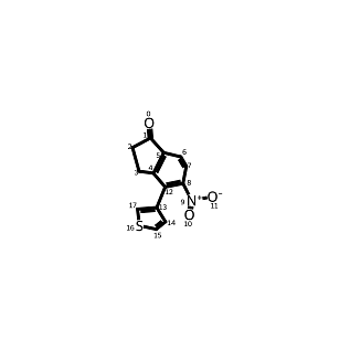 O=C1CCc2c1ccc([N+](=O)[O-])c2-c1ccsc1